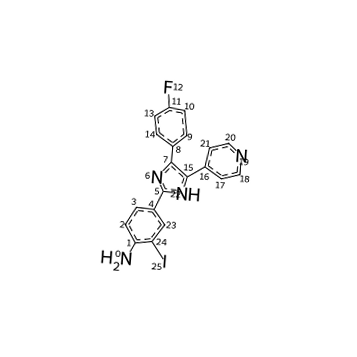 Nc1ccc(-c2nc(-c3ccc(F)cc3)c(-c3ccncc3)[nH]2)cc1I